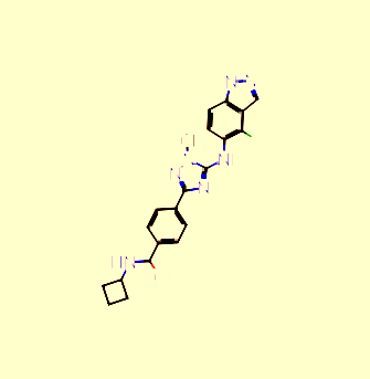 Cn1nc(-c2ccc(C(O)NC3CCC3)cc2)nc1Nc1ccc2[nH]ncc2c1Cl